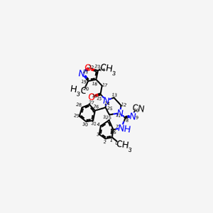 Cc1ccccc1N/C(=N/C#N)N1CCN(C(=O)Cc2c(C)noc2C)C(c2ccccc2)C1